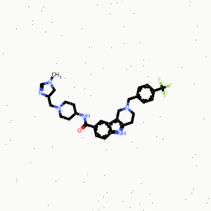 CN1C=NC(CN2CCC(NC(=O)c3ccc4[nH]c5c(c4c3)CN(Cc3ccc(C(F)(F)F)cc3)CC5)CC2)C1